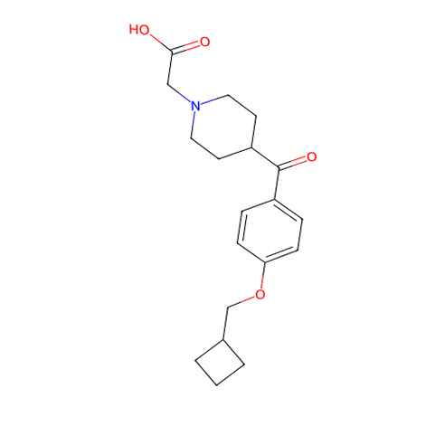 O=C(O)CN1CCC(C(=O)c2ccc(OCC3CCC3)cc2)CC1